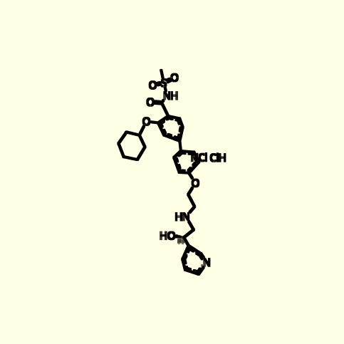 CS(=O)(=O)NC(=O)c1ccc(-c2ccc(OCCNC[C@H](O)c3cccnc3)cc2)cc1OC1CCCCC1.Cl.Cl